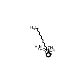 CCCCCCCCCCCCC(C)(O)C(C)(O)c1ccccc1.N